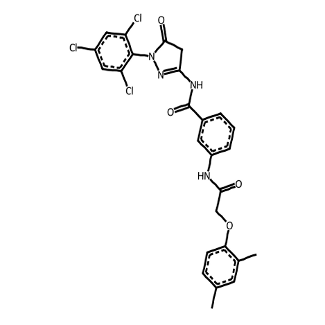 Cc1ccc(OCC(=O)Nc2cccc(C(=O)NC3=NN(c4c(Cl)cc(Cl)cc4Cl)C(=O)C3)c2)c(C)c1